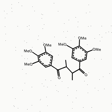 COc1cc(C(=O)C(C)C(C)C(=O)c2cc(OC)c(OC)c(OC)c2)cc(OC)c1OC